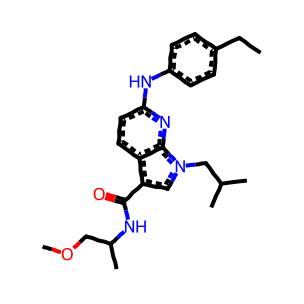 CCc1ccc(Nc2ccc3c(C(=O)NC(C)COC)cn(CC(C)C)c3n2)cc1